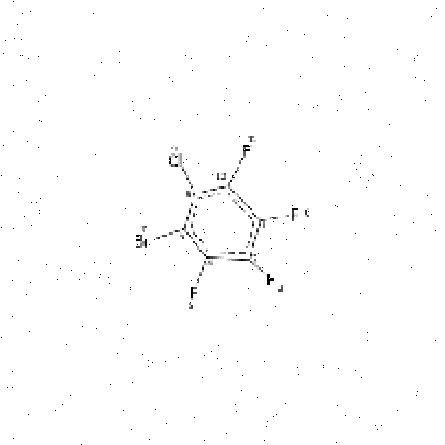 Fc1c(F)c(F)c(Br)c(Cl)c1F